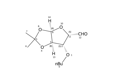 CCCCO[C@@H]1[C@H]2OC(C)(C)O[C@H]2O[C@@H]1C=O